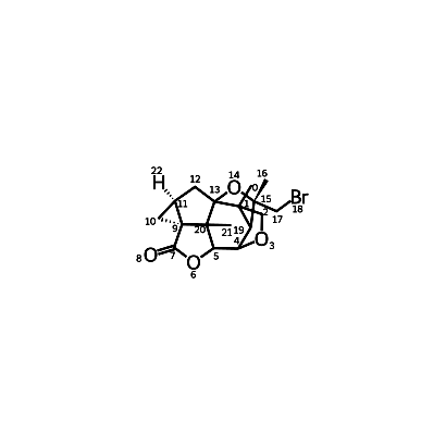 CC12COC3C4OC(=O)[C@@]56C[C@H]5CC1(O[C@](C)(CBr)C32)C46C